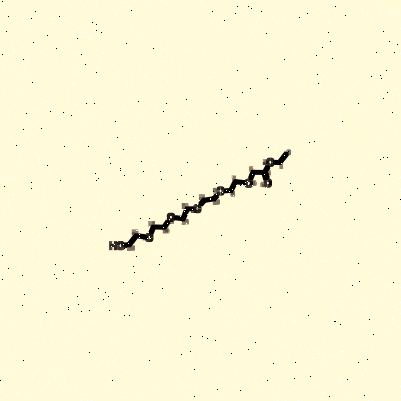 CCOC(=O)COCCOCCOCCOCCOCCO